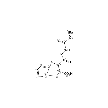 CC(C)(C)OC(=O)NCC(=O)N1Cc2ccccc2C[C@H]1C(=O)O